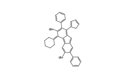 CC(C)(C)c1cc2c(cc1-c1ccccc1)=Cc1c(C3=CC=CC3)c(-c3ccccc3)c(C(C)(C)C)c(=C3CCCCC3)c1=2